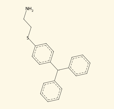 NCCSc1ccc([C](c2ccccc2)c2ccccc2)cc1